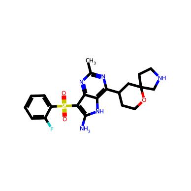 Cc1nc(C2CCOC3(CCNC3)C2)c2[nH]c(N)c(S(=O)(=O)c3ccccc3F)c2n1